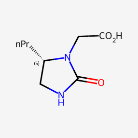 CCC[C@H]1CNC(=O)N1CC(=O)O